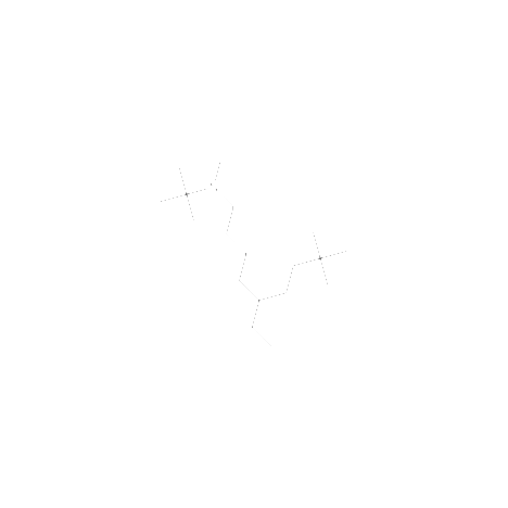 CCC(CCCCN(C)C(C)(C)C)CCC(C)(C)C